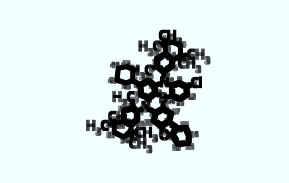 Cc1cc2c(cc1N1c3cc(Cl)ccc3B3c4cc5c(cc4N(c4cc6c(cc4C)C(C)(C)CCC6(C)C)c4cc(C6CCCCC6)cc1c43)oc1ccccc15)C(C)(C)CCC2(C)C